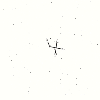 FCC([S])(Cl)Cl